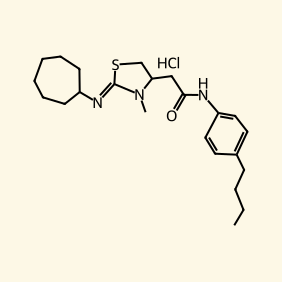 CCCCc1ccc(NC(=O)CC2CS/C(=N\C3CCCCCC3)N2C)cc1.Cl